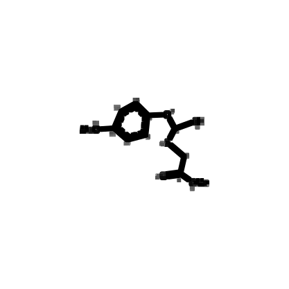 COC(=O)CSC(S)Oc1ccc(OC)cc1